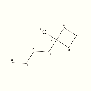 CCCCC1([O])CCC1